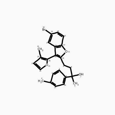 Cc1ccc(C(C)(O)CCc2oc3ccc(Br)cc3c2-c2occc2C)cc1